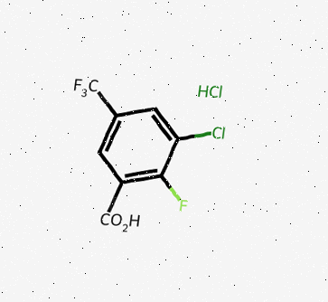 Cl.O=C(O)c1cc(C(F)(F)F)cc(Cl)c1F